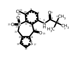 CC(C)(C)C(=O)Nc1ccc(Cl)c2c1C(=O)c1sccc1CS2(=O)=O